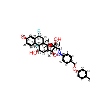 Cc1ccc(OCc2ccc(N3C[C@@H]4C[C@@]5(C)[C@@H]6C[C@H](F)C7=CC(=O)C=C[C@]7(C)[C@@]6(F)[C@@H](O)C[C@]5(C)[C@]4(C(=O)CO)O3)cc2)cc1